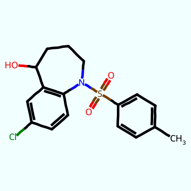 Cc1ccc(S(=O)(=O)N2CCCC(O)c3cc(Cl)ccc32)cc1